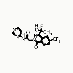 CC(C)(F)c1nn(CC(=O)Nc2ccncn2)c(=O)c2ccc(C(F)(F)F)cc12